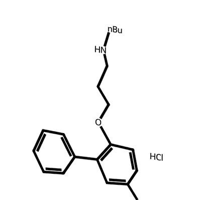 CCCCNCCCOc1ccc(Cl)cc1-c1ccccc1.Cl